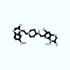 COc1ccc2ncc(=O)n(CCN3CCC(NCc4nc5c(cc4Cl)SCC(=O)N5C)CC3)c2c1